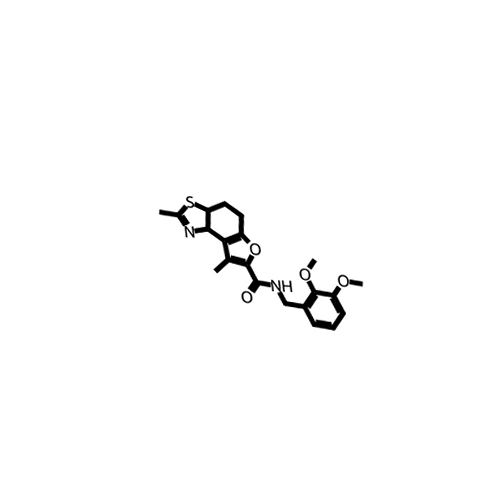 COc1cccc(CNC(=O)c2oc3c(c2C)C2N=C(C)SC2CC3)c1OC